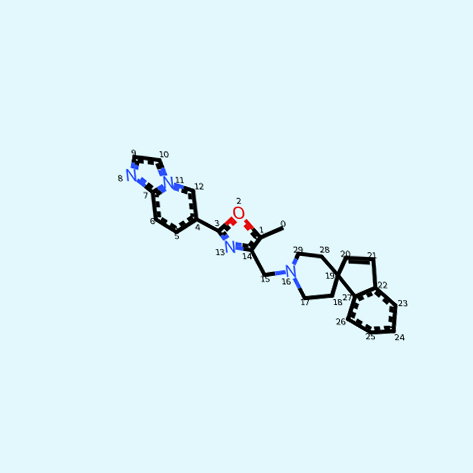 Cc1oc(-c2ccc3nccn3c2)nc1CN1CCC2(C=Cc3ccccc32)CC1